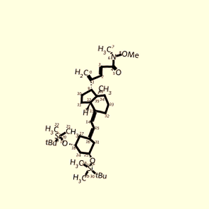 C=C(/C=C/C(=O)N(C)OC)[C@H]1CC[C@H]2/C(=C/C=C3C[C@@H](O[Si](C)(C)C(C)(C)C)C[C@H](O[Si](C)(C)C(C)(C)C)C3)CCC[C@]12C